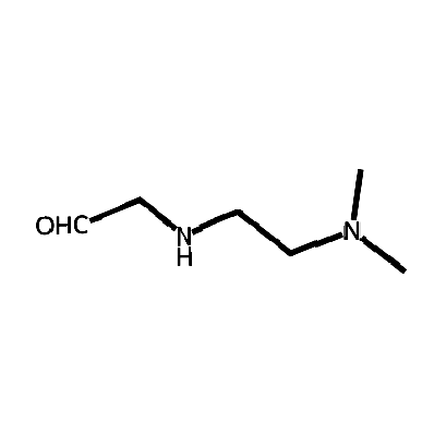 CN(C)CCNCC=O